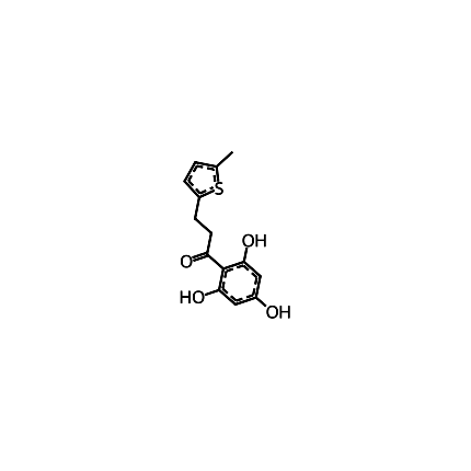 Cc1ccc(CCC(=O)c2c(O)cc(O)cc2O)s1